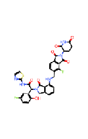 O=C1CCC(N2C(=O)c3ccc(CNc4cccc5c4C(=O)N(C(C(=O)Nc4nccs4)c4cc(F)ccc4O)C5)c(F)c3C2=O)C(=O)N1